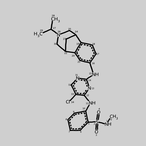 CNS(=O)(=O)c1ccccc1Nc1nc(Nc2ccc3c(c2)C2CC3CN(C(C)C)C2)ncc1Cl